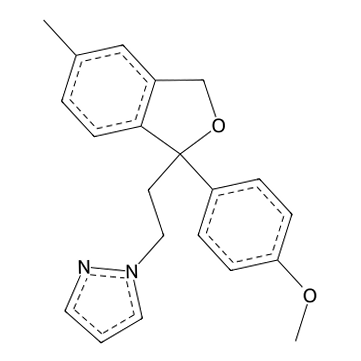 COc1ccc(C2(CCn3cccn3)OCc3cc(C)ccc32)cc1